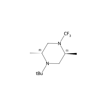 C[C@@H]1CN(C(F)(F)F)[C@@H](C)CN1C(C)(C)C